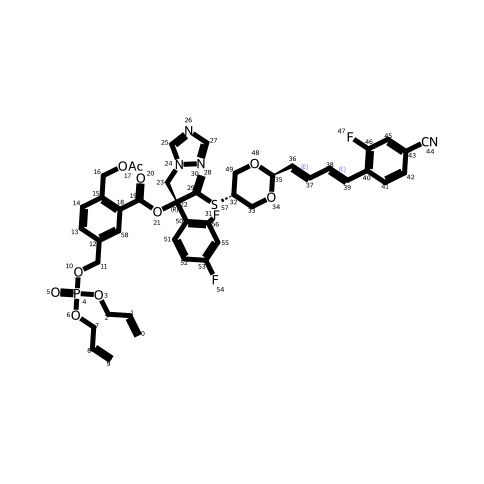 C=CCOP(=O)(OCC=C)OCc1ccc(COC(C)=O)c(C(=O)O[C@](Cn2cncn2)(C(=C)S[C@H]2CO[C@H](/C=C/C=C/c3ccc(C#N)cc3F)OC2)c2ccc(F)cc2F)c1